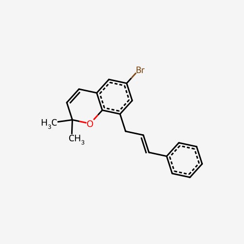 CC1(C)C=Cc2cc(Br)cc(C/C=C/c3ccccc3)c2O1